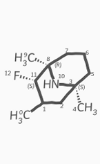 CC1C[C@]2(C)CCC[C@@](C)(N2)[C@H]1F